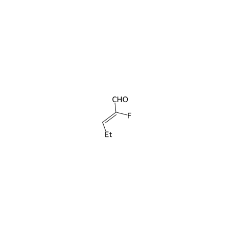 CC/C=C(\F)C=O